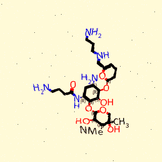 CN[C@@H]1[C@@H](O)[C@@H](O[C@@H]2[C@@H](O)[C@H](O[C@@H]3CCC=C(CNCCCN)O3)[C@@H](N)C[C@H]2NC(=O)CCCN)OC[C@]1(C)O